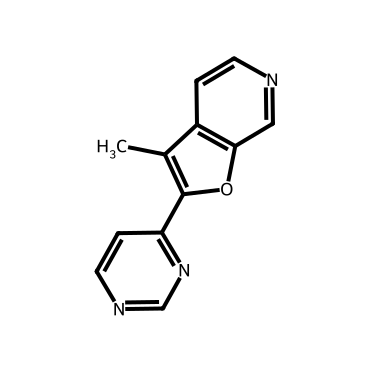 Cc1c(-c2ccncn2)oc2cnccc12